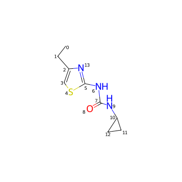 CCc1csc(NC(=O)NC2CC2)n1